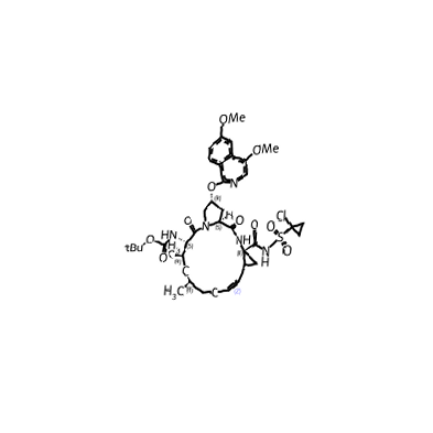 COc1ccc2c(O[C@@H]3C[C@H]4C(=O)N[C@]5(C(=O)NS(=O)(=O)C6(Cl)CC6)CC5/C=C\CC[C@@H](C)C[C@@H](C)[C@H](NC(=O)OC(C)(C)C)C(=O)N4C3)ncc(OC)c2c1